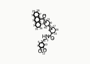 O=C(NCCc1ccc2c(c1)OCO2)C1CCCN(C2CCN(C(=O)c3c4ccccc4cc4ccccc34)CC2)C1